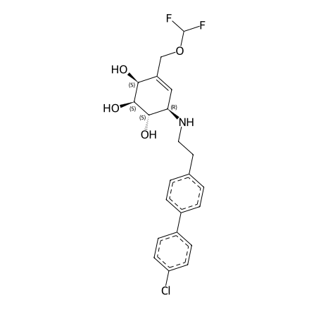 O[C@@H]1[C@@H](O)[C@@H](O)C(COC(F)F)=C[C@H]1NCCc1ccc(-c2ccc(Cl)cc2)cc1